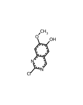 COc1cc2nc(Cl)ncc2cc1O